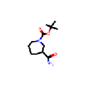 CC(C)(C)OC(=O)N1CCCCC(C(N)=O)C1